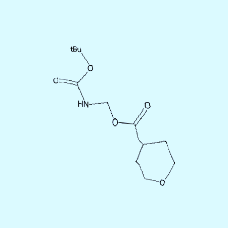 CC(C)(C)OC(=O)NCOC(=O)C1CCOCC1